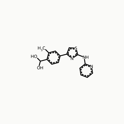 Cc1cc(-c2csc(Nc3ccccn3)n2)ccc1C(O)O